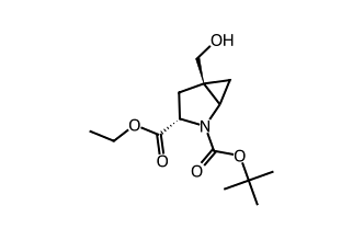 CCOC(=O)[C@@H]1C[C@]2(CO)CC2N1C(=O)OC(C)(C)C